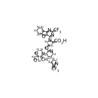 C[C@@H]1N(c2cc(-c3cnn(C(F)(F)F)c3)cnc2O[C@H]2C[C@@H](C(=O)O)N(c3nc(C(F)(F)F)nc4c3oc3ccccc34)C2)CCOC12COC2